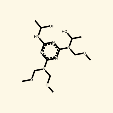 COCN(COC)c1nc(NC(C)O)nc(N(COC)C(C)O)n1